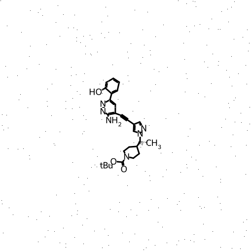 C[C@H](C1CCN(C(=O)OC(C)(C)C)CC1)n1cc(C#Cc2cc(-c3ccccc3O)nnc2N)cn1